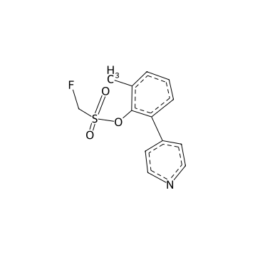 Cc1cccc(-c2ccncc2)c1OS(=O)(=O)CF